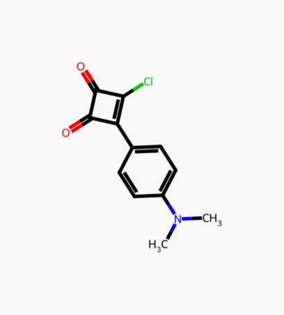 CN(C)c1ccc(-c2c(Cl)c(=O)c2=O)cc1